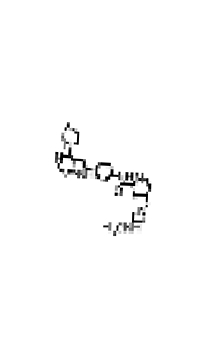 CNC1CN(Cc2ccnc(C(=O)Nc3ccc(-c4cc5c(N6CCOCC6)ncnc5[nH]4)cc3)c2)C1